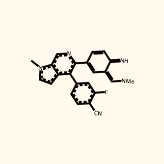 CN/C=C1/C=C(c2ncc3c(ccn3C)c2-c2ccc(C#N)c(F)c2)C=CC1=N